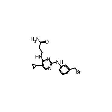 NC(=O)CCNc1nc(Nc2cccc(CBr)c2)ncc1C1CC1